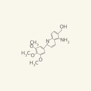 COc1cc(-c2ccc3c(N)c(CO)ccc3n2)cc(OC)c1OC